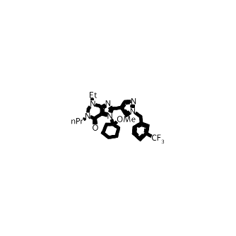 CCCN1CN(CC)c2nc(-c3cnn(Cc4cccc(C(F)(F)F)c4)c3)n(C3(OC)CCCCC3)c2C1=O